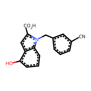 N#Cc1cccc(Cn2c(C(=O)O)cc3c(O)cccc32)c1